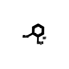 COc1ccccc1S(=O)(=O)O.F